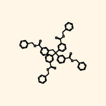 O=C(OCc1ccccc1)c1cccc(CC(c2cccc(C(=O)OCc3ccccc3)c2)(c2cccc(C(=O)OCc3ccccc3)c2)c2cccc(C(=O)OCc3ccccc3)c2)c1